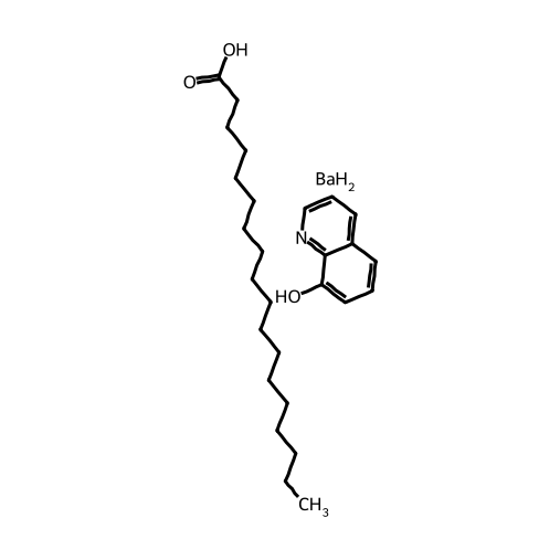 CCCCCCCCCCCCCCCCCC(=O)O.Oc1cccc2cccnc12.[BaH2]